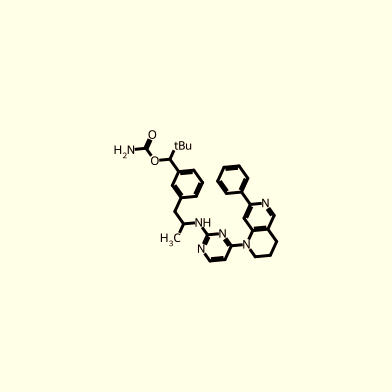 CC(Cc1cccc(C(OC(N)=O)C(C)(C)C)c1)Nc1nccc(N2CCCc3cnc(-c4ccccc4)cc32)n1